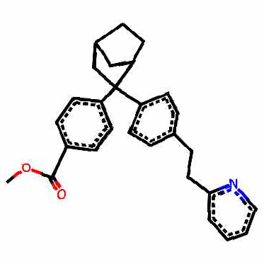 COC(=O)c1ccc(C2(c3ccc(CCc4ccccn4)cc3)CC3CCC2C3)cc1